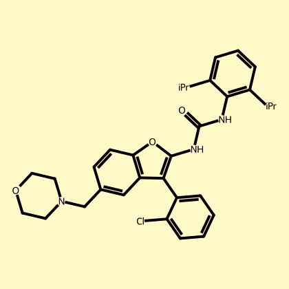 CC(C)c1cccc(C(C)C)c1NC(=O)Nc1oc2ccc(CN3CCOCC3)cc2c1-c1ccccc1Cl